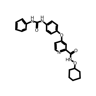 O=C(Nc1ccccc1)Nc1ccc(Oc2ccnc(C(=O)NOC3CCCCC3)c2)cc1